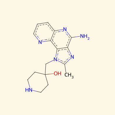 Cc1nc2c(N)nc3cccnc3c2n1CC1(O)CCNCC1